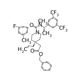 C=CC[C@]1(CC(=O)OCc2ccccc2)CCN(C(=O)N(C)[C@H](C)c2cc(C(F)(F)F)cc(C(F)(F)F)c2)[C@@H](c2ccc(F)cc2C)C1